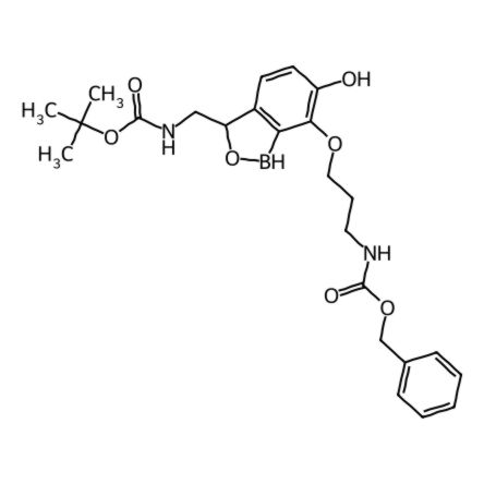 CC(C)(C)OC(=O)NCC1OBc2c1ccc(O)c2OCCCNC(=O)OCc1ccccc1